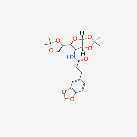 CC1(C)O[C@H]2O[C@H]([C@H]3COC(C)(C)O3)[C@H](NC(=O)CCc3ccc4c(c3)OCO4)[C@H]2O1